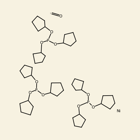 C1CCC(OP(OC2CCCC2)OC2CCCC2)C1.C1CCC(OP(OC2CCCC2)OC2CCCC2)C1.C1CCC(OP(OC2CCCC2)OC2CCCC2)C1.[C]=O.[Ni]